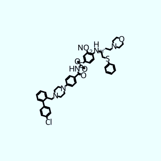 O=C(NS(=O)(=O)c1ccc(N[C@H](CCN2CCOCC2)CSc2ccccc2)c([N+](=O)[O-])c1)c1ccc(N2CCN(Cc3ccccc3-c3ccc(Cl)cc3)CC2)cc1